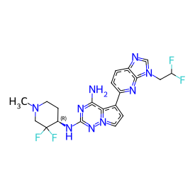 CN1CC[C@@H](Nc2nc(N)c3c(-c4ccc5ncn(CC(F)F)c5n4)ccn3n2)C(F)(F)C1